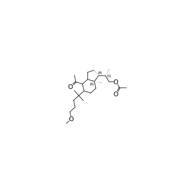 COCCCC(C)(C)C1CC[C@@]2(C)C(CC[C@@H]2[C@H](C)COC(C)=O)C1C(C)=O